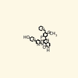 COc1cc(-c2cc(Nc3ccc(N4CCC(O)CC4)cn3)c3c(=O)[nH]ccc3n2)c(F)cc1CN1CCCCC1